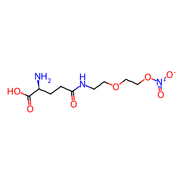 N[C@@H](CCC(=O)NCCOCCO[N+](=O)[O-])C(=O)O